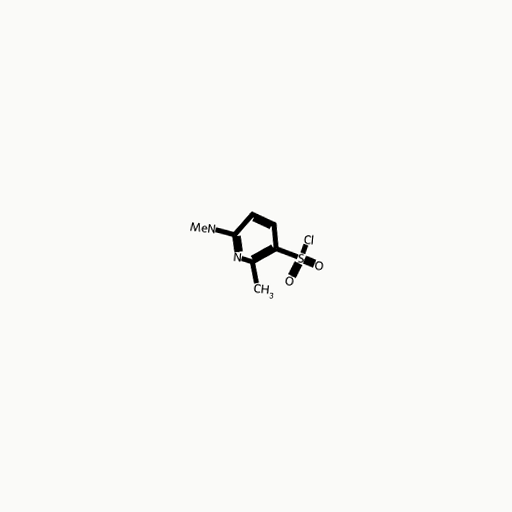 CNc1ccc(S(=O)(=O)Cl)c(C)n1